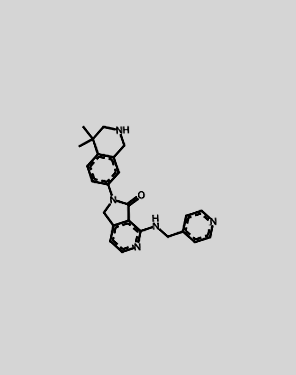 CC1(C)CNCc2cc(N3Cc4ccnc(NCc5ccncc5)c4C3=O)ccc21